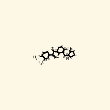 Cc1ccc(-c2coc3c4c(ccc3c2=O)O[C@@H]2CCC[C@@H]2C4)cc1C